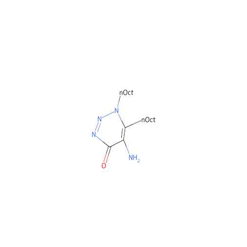 CCCCCCCCc1c(N)c(=O)nnn1CCCCCCCC